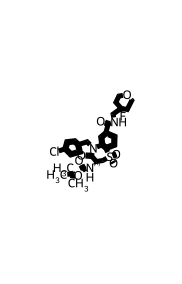 CC(C)(C)OC(=O)N[C@H]1CS(=O)(=O)c2ccc(C(=O)NCC3(F)CCOCC3)cc2N(Cc2ccc(Cl)cc2)C1=O